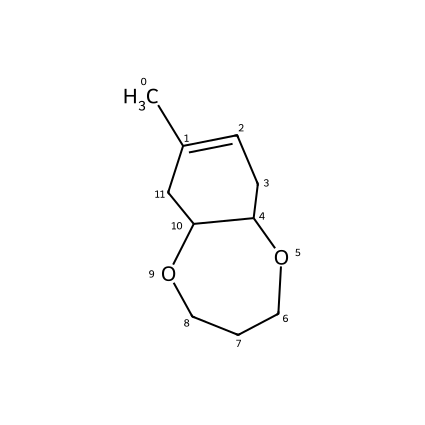 CC1=CCC2OCCCOC2C1